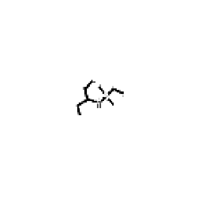 CCC(CC)N[Si](C)(C)CC